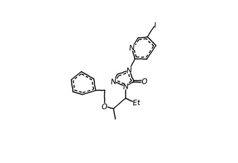 CCC(C(C)OCc1ccccc1)n1ncn(-c2ccc(I)cn2)c1=O